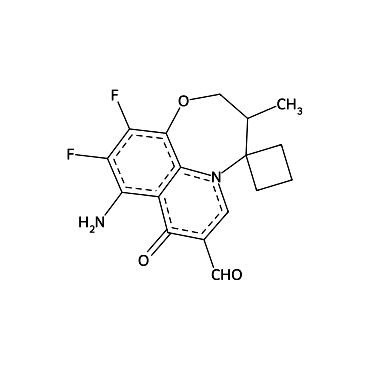 CC1COc2c(F)c(F)c(N)c3c(=O)c(C=O)cn(c23)C12CCC2